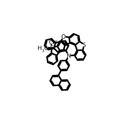 C[Si]1(C)c2ccccc2-c2c(N(c3ccc(-c4cccc5ccccc45)cc3)c3cccc4sc5ccc6oc7c8ccccc8ccc7c6c5c34)cccc21